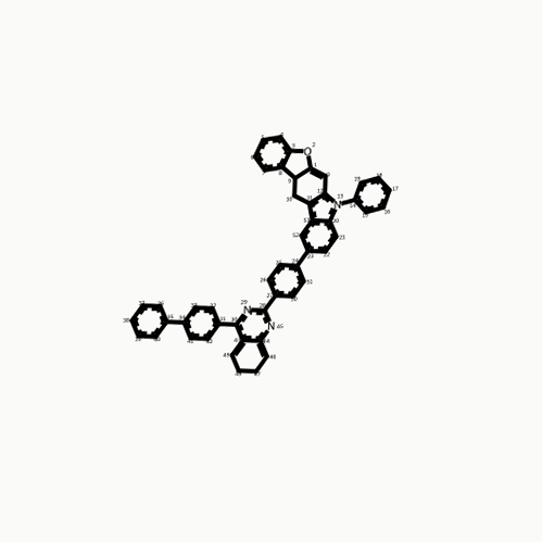 C1=C2Oc3ccccc3C2Cc2c1n(-c1ccccc1)c1ccc(-c3ccc(-c4nc(-c5ccc(-c6ccccc6)cc5)c5c(n4)=CCCC=5)cc3)cc21